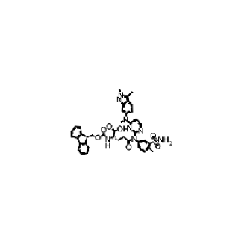 Cc1ccc(N(C(=O)CC[C@H](NC(=O)OCC2c3ccccc3-c3ccccc32)C(=O)O)c2nccc(N(C)c3ccc4c(C)n(C)nc4c3)n2)cc1S(N)(=O)=O